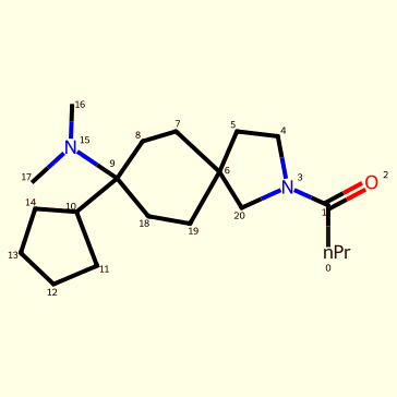 CCCC(=O)N1CCC2(CCC(C3CCCC3)(N(C)C)CC2)C1